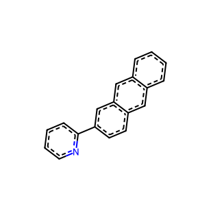 c1ccc(-c2ccc3cc4ccccc4cc3c2)nc1